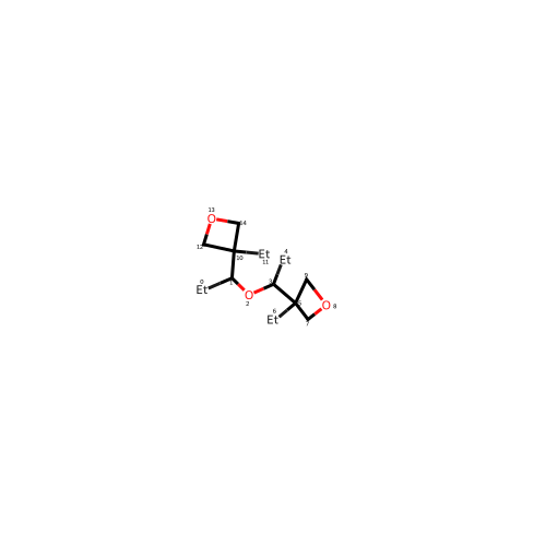 CCC(OC(CC)C1(CC)COC1)C1(CC)COC1